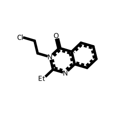 CCc1nc2ccccc2c(=O)n1CCCl